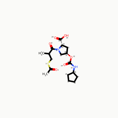 CC(=O)SCC(C)C(=O)N1C[C@H](OC(=O)NC2CCCC2)C[C@H]1C(=O)O